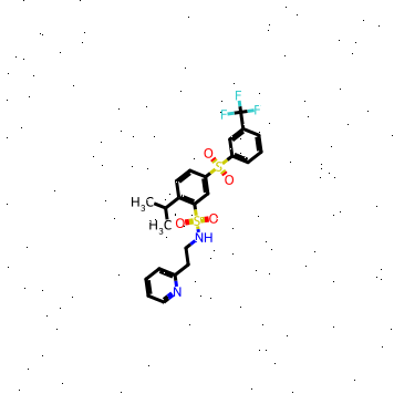 CC(C)c1ccc(S(=O)(=O)c2cccc(C(F)(F)F)c2)cc1S(=O)(=O)NCCc1ccccn1